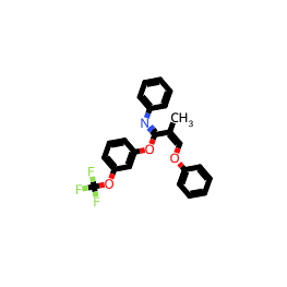 CC(=COc1ccccc1)C(=Nc1ccccc1)Oc1cccc(OC(F)(F)F)c1